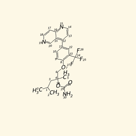 CC(C)CC(C)(COc1ccc(-c2ccnc3ccncc23)cc1C(F)(F)F)OC(N)=O